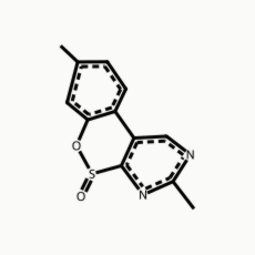 Cc1ccc2c(c1)OS(=O)c1nc(C)ncc1-2